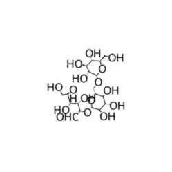 O=C[C@H](O[C@H]1O[C@H](CO[C@H]2O[C@H](CO)[C@@H](O)[C@H](O)[C@H]2O)[C@@H](O)[C@H](O)[C@H]1O)[C@@H](O)[C@H](O)[C@H](O)CO